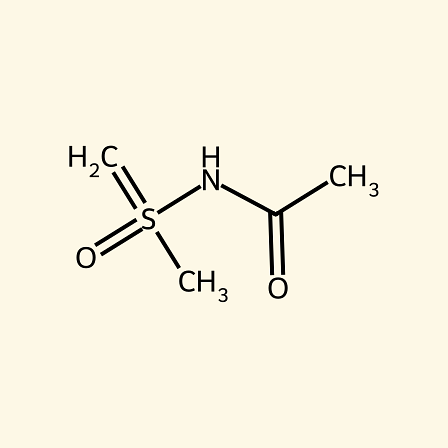 C=S(C)(=O)NC(C)=O